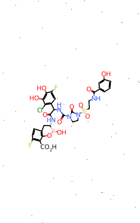 O=C(NCCS(=O)(=O)N1CCN(C(=O)NC(C(=O)N[C@H]2Cc3ccc(F)c(C(=O)O)c3OB2O)c2cc(F)c(O)c(O)c2Cl)C1=O)c1cccc(O)c1